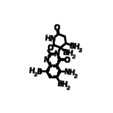 Bc1cc(B)c2nc(C)n(C3(B)C(=O)NC(=O)CC3B)c(=O)c2c1N